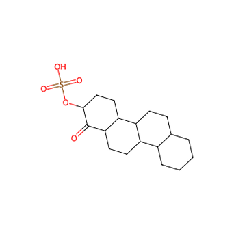 O=C1C(OS(=O)(=O)O)CCC2C1CCC1C3CCCCC3CCC21